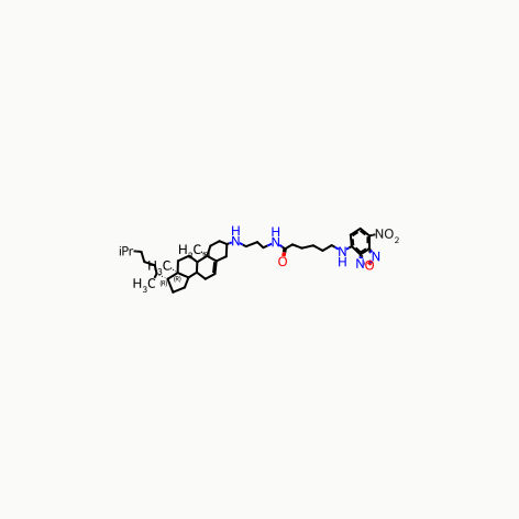 CC(C)CCCC(C)[C@H]1CCC2C3CC=C4CC(NCCCNC(=O)CCCCCNc5ccc([N+](=O)[O-])c6nonc56)CC[C@]4(C)C3CC[C@@]21C